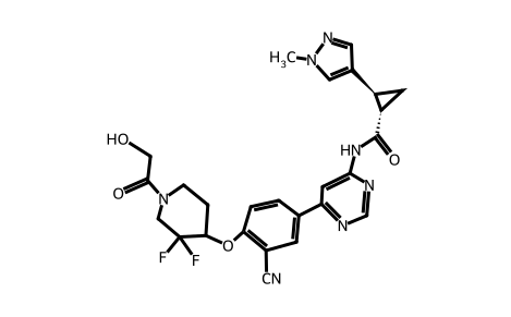 Cn1cc([C@H]2C[C@@H]2C(=O)Nc2cc(-c3ccc(OC4CCN(C(=O)CO)CC4(F)F)c(C#N)c3)ncn2)cn1